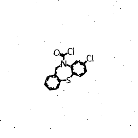 O=C(Cl)N1Cc2ccccc2Sc2ccc(Cl)cc21